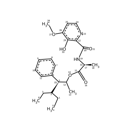 CCC(CC)[C@@H](c1ccccc1)C(C)OC(=O)[C@H](C)NC(=O)c1nccc(OC)c1O